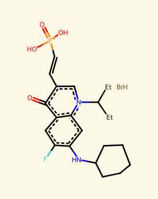 Br.CCC(CC)n1cc(C=CP(=O)(O)O)c(=O)c2cc(F)c(NC3CCCCC3)cc21